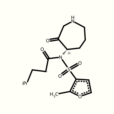 Cc1occc1S(=O)(=O)N(C(=O)[CH]CC(C)C)[C@H]1CCCNCC1=O